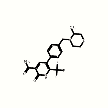 CC1COCCN1Cc1ccc(-c2cc(C(N)=O)c(=O)[nH]c2C(F)(F)F)cc1